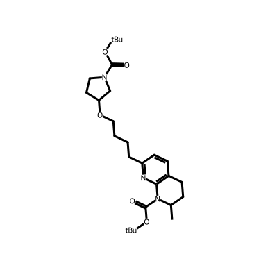 CC1CCc2ccc(CCCCOC3CCN(C(=O)OC(C)(C)C)C3)nc2N1C(=O)OC(C)(C)C